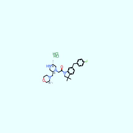 C[C@@H]1CN(CC(=O)N2CC(C)(C)c3ccc(Cc4ccc(F)cc4)cc32)[C@@H](CN2CCOC[C@H]2C)CN1.Cl.Cl